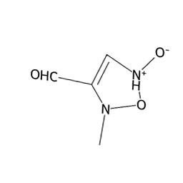 CN1O[NH+]([O-])C=C1C=O